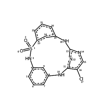 O=S1(=O)Nc2cccc(c2)Nc2nc(ncc2Cl)Nc2cccc1c2